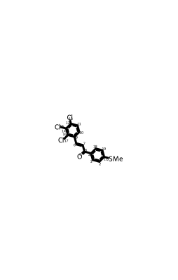 CSc1ccc(C(=O)/C=C/c2ccc(Cl)c(Cl)c2Cl)cc1